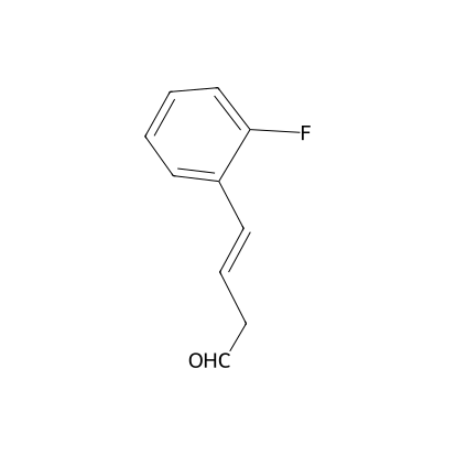 O=CCC=Cc1ccccc1F